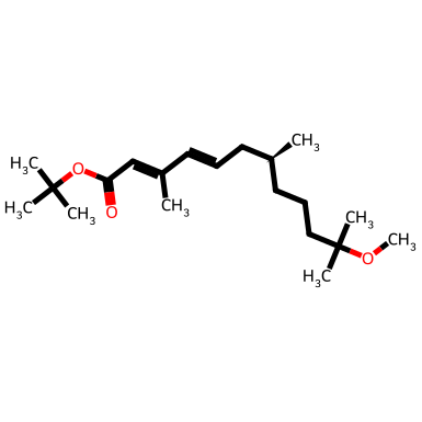 COC(C)(C)CCC[C@H](C)C/C=C/C(C)=C/C(=O)OC(C)(C)C